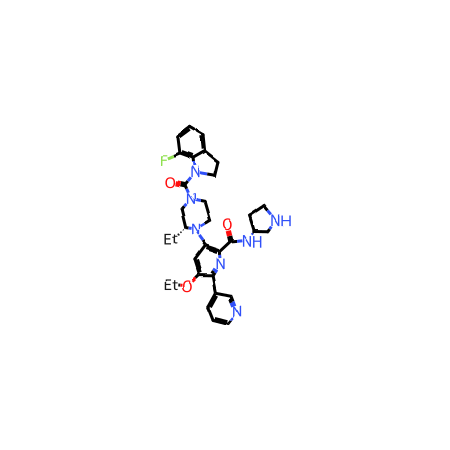 CCOc1cc(N2CCN(C(=O)N3CCc4cccc(F)c43)C[C@H]2CC)c(C(=O)N[C@@H]2CCNC2)nc1-c1cccnc1